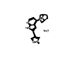 Cl.Cn1cc(-c2cc3c(N4CC5CCC(C4)N5)ccnc3[nH]2)cn1